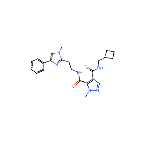 Cn1cc(-c2ccccc2)nc1CCNC(=O)c1c(C(=O)NCC2CCC2)cnn1C